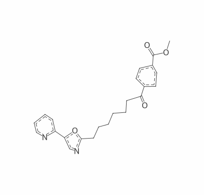 COC(=O)c1ccc(C(=O)CCCCCCc2ncc(-c3ccccn3)o2)cc1